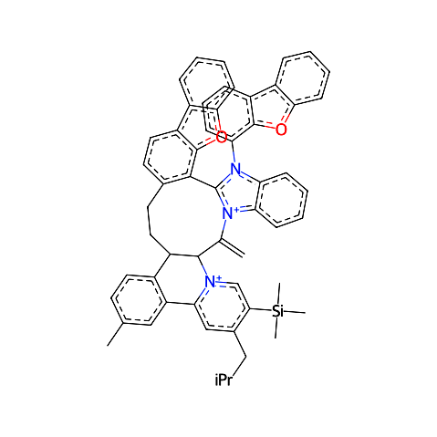 C=C1C2C(CCc3ccc4c(oc5ccccc54)c3-c3n(-c4cccc5c4oc4ccccc45)c4ccccc4[n+]31)c1ccc(C)cc1-c1cc(CC(C)C)c([Si](C)(C)C)c[n+]12